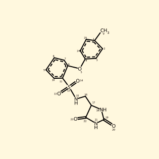 Cc1ccc(Oc2ccccc2S(=O)(=O)NCC2NC(=O)NC2=O)cc1